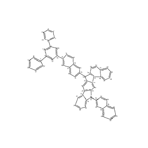 c1ccc(-c2nc(-c3ccccc3)nc(-c3ccc4cc(-n5c6cc7c8ccccc8n(-c8ccc9ccccc9c8)c7cc6c6c7ccccc7ccc65)ccc4c3)n2)cc1